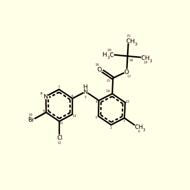 Cc1ccc(Nc2cnc(Br)c(Cl)c2)c(C(=O)OC(C)(C)C)c1